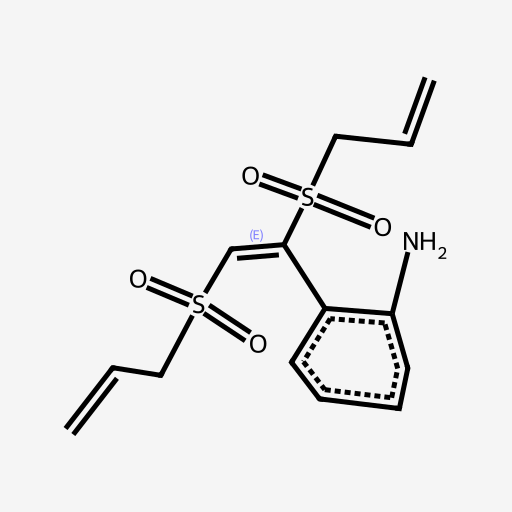 C=CCS(=O)(=O)/C=C(\c1ccccc1N)S(=O)(=O)CC=C